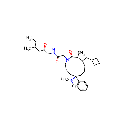 CCC(C)CC(=O)CNC(=O)CN1CCC[C@](c2ccccc2)(N(C)C)CCCC(CC2CCC2)C(C)C1=O